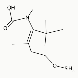 CC(CCO[SiH3])=C(N(C)C(=O)O)C(C)(C)C